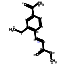 CCc1cc(C(C)=O)ccc1/C=C/C(=O)OC